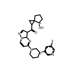 O=C(C1C=NN2C=CC(N3CCC[C@H](c4cncc(F)c4)C3)=NC12)C1CC12CCC[C@H]2O